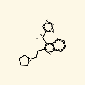 C[C@H](c1cscn1)c1c(CCN2CCCC2)sc2ccccc12